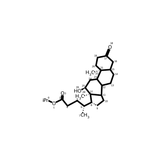 CC(C)OC(=O)CC[C@@H](C)[C@H]1CCC2C3CCC4CC(=O)CC[C@]4(C)C3C[C@H](O)[C@@]21C